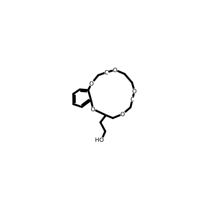 OCCC1COCCOCCOCCOc2ccccc2O1